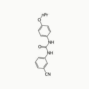 CCCOc1ccc(NC(=O)Nc2cccc(C#N)c2)cc1